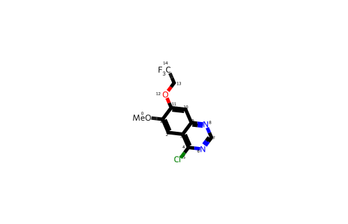 COc1cc2c(Cl)ncnc2cc1OCC(F)(F)F